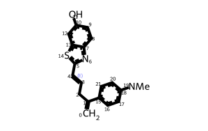 C=C(C/C=C/c1nc2ccc(O)cc2s1)c1ccc(NC)cc1